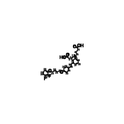 O=C(O)CCCn1cc(CC(=O)O)c2c(/C=C/c3ccc(OC/C=C/COc4cccc(F)c4F)cc3)cccc21